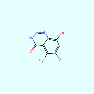 Cc1c(Br)cc(O)c2nc[nH]c(=O)c12